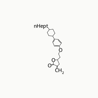 C=C1CC(CCOc2ccc(C3CCC(CCCCCCC)CC3)cc2)OC1=O